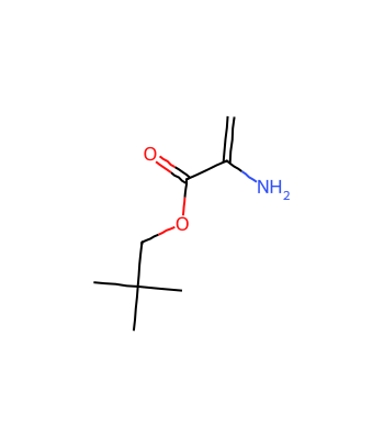 C=C(N)C(=O)OCC(C)(C)C